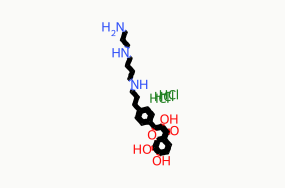 Cl.Cl.Cl.NCCCNCCCCNCCCc1ccc(-c2oc3c(O)c(O)ccc3c(=O)c2O)cc1